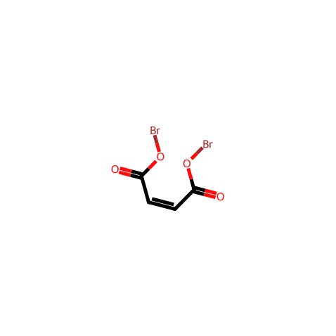 O=C(/C=C\C(=O)OBr)OBr